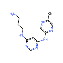 N#Cc1cnc(Nc2cc(NCCCN)ncn2)cn1